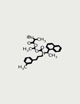 CCC(C)C(C)C(=O)OC(C)OC(=O)N(CCCc1cccc(C)c1)[C@H](C)c1cccc2ccccc12